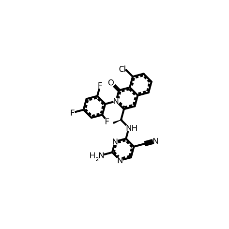 C[C@H](Nc1nc(N)ncc1C#N)c1cc2cccc(Cl)c2c(=O)n1-c1c(F)cc(F)cc1F